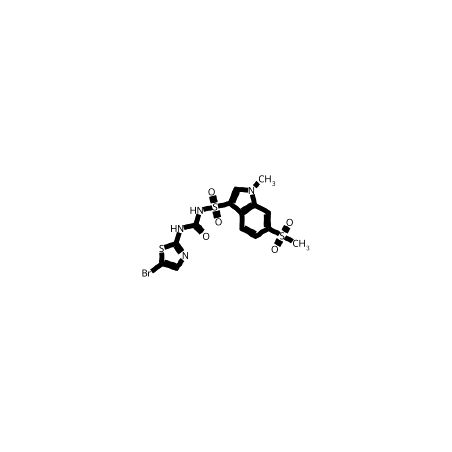 Cn1cc(S(=O)(=O)NC(=O)Nc2ncc(Br)s2)c2ccc(S(C)(=O)=O)cc21